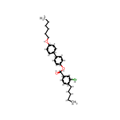 CCCCCCOc1ccc(-c2ccc(OC(=O)c3ccc(CCCCC)c(Br)c3)cc2)cc1